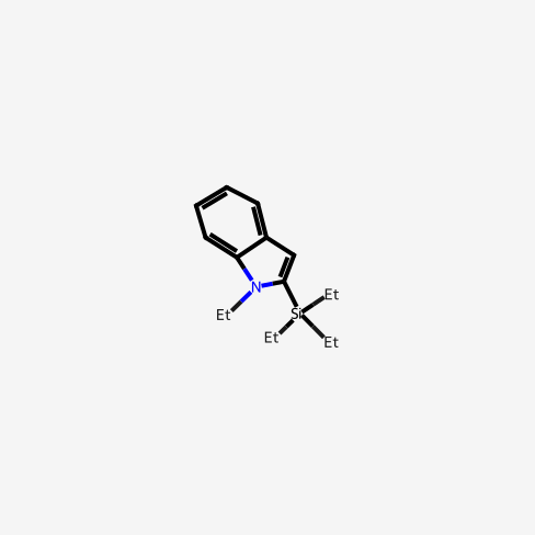 CCn1c([Si](CC)(CC)CC)cc2ccccc21